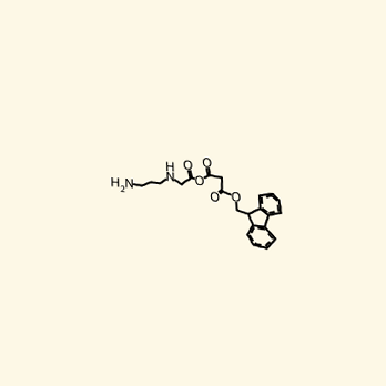 NCCCNCC(=O)OC(=O)CC(=O)OCC1c2ccccc2-c2ccccc21